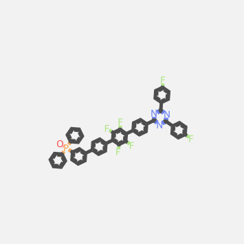 O=P(c1ccccc1)(c1ccccc1)c1cccc(-c2ccc(-c3c(F)c(F)c(-c4ccc(-c5nc(-c6ccc(F)cc6)nc(-c6ccc(F)cc6)n5)cc4)c(F)c3F)cc2)c1